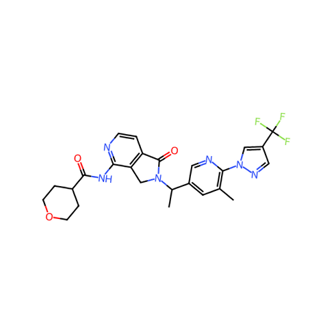 Cc1cc(C(C)N2Cc3c(ccnc3NC(=O)C3CCOCC3)C2=O)cnc1-n1cc(C(F)(F)F)cn1